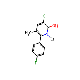 CCN1C(c2ccc(F)cc2)=C(C)C=C(Cl)C1O